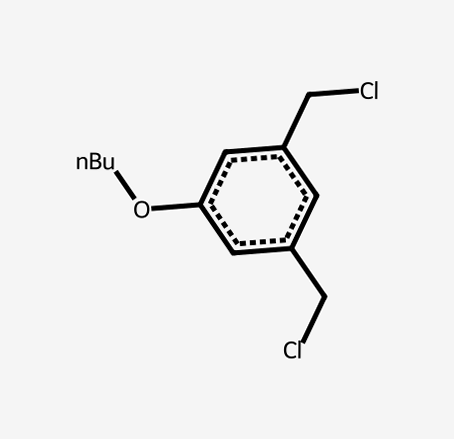 CCCCOc1cc(CCl)cc(CCl)c1